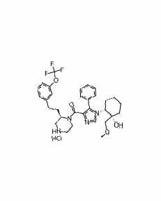 COC[C@]1(O)CCCC[C@H]1n1cnc(C(=O)N2CCNC[C@H]2CCc2cccc(OC(F)(F)F)c2)c1-c1ccccc1.Cl